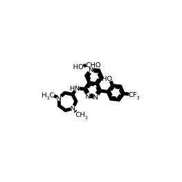 CN1CCN(C)CC(Nc2nnc(-c3ccc(C(F)(F)F)cc3O)c3ccncc23)C1.O=CO